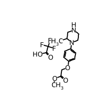 COC(=O)COc1ccc(N2CCNCC2C)cc1.O=C(O)C(F)(F)F